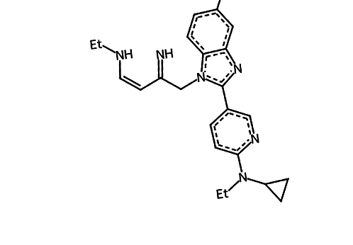 CCN/C=C\C(=N)Cn1c(-c2ccc(N(CC)C3CC3)nc2)nc2cc(C)ccc21